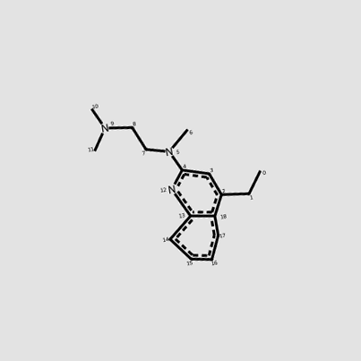 CCc1cc(N(C)CCN(C)C)nc2ccccc12